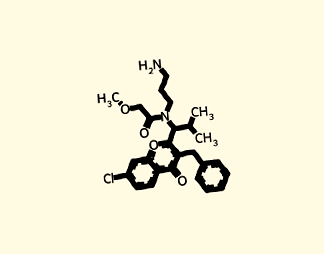 COCC(=O)N(CCCN)C(c1oc2cc(Cl)ccc2c(=O)c1Cc1ccccc1)C(C)C